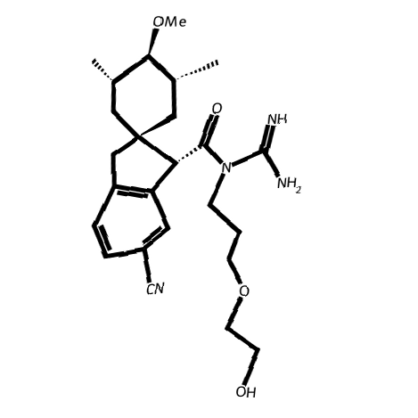 CO[C@H]1[C@H](C)C[C@@]2(Cc3ccc(C#N)cc3[C@H]2C(=O)N(CCCOCCO)C(=N)N)C[C@@H]1C